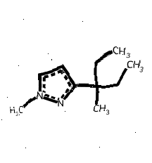 CCC(C)(CC)c1ccn(C)n1